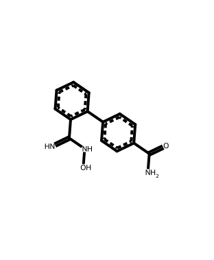 N=C(NO)c1ccccc1-c1ccc(C(N)=O)cc1